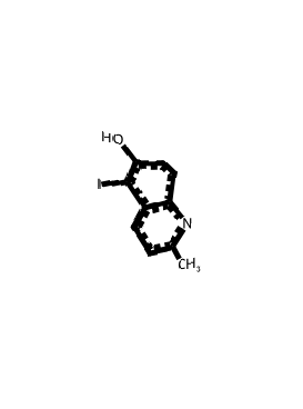 Cc1ccc2c(I)c(O)ccc2n1